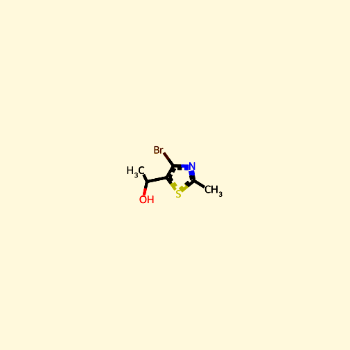 Cc1nc(Br)c(C(C)O)s1